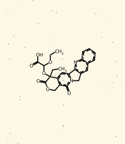 CCOC(OC1(CC)C(=O)OCc2c1cc1n(c2=O)Cc2cc3ccccc3nc2-1)C(=O)O